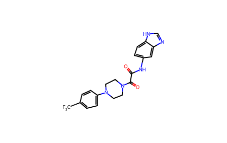 O=C(Nc1ccc2[nH]cnc2c1)C(=O)N1CCN(c2ccc(C(F)(F)F)cc2)CC1